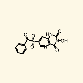 O=C(c1ccccc1)S(=O)(=O)c1cnc2c(=O)n(O)c(=O)[nH]c2c1